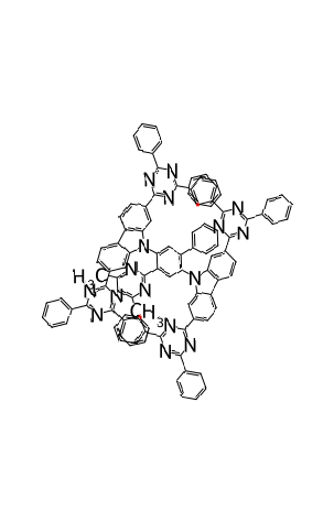 Cc1cc(C)nc(-c2cc(-n3c4cc(-c5nc(-c6ccccc6)nc(-c6ccccc6)n5)ccc4c4ccc(-c5nc(-c6ccccc6)nc(-c6ccccc6)n5)cc43)c(-c3ccccc3)cc2-n2c3cc(-c4nc(-c5ccccc5)nc(-c5ccccc5)n4)ccc3c3ccc(-c4nc(-c5ccccc5)nc(-c5ccccc5)n4)cc32)n1